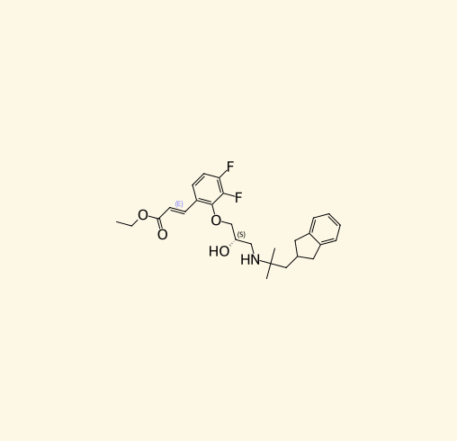 CCOC(=O)/C=C/c1ccc(F)c(F)c1OC[C@@H](O)CNC(C)(C)CC1Cc2ccccc2C1